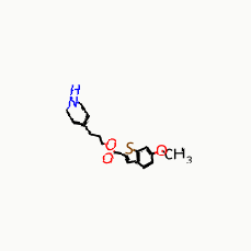 COc1ccc2cc(C(=O)OCCCC3CCNCC3)sc2c1